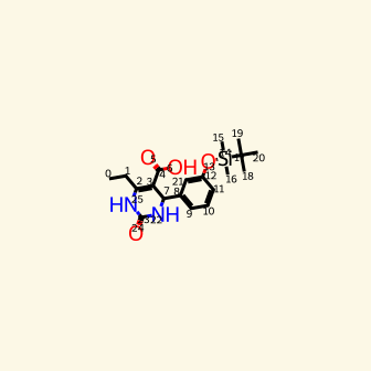 CCC1=C(C(=O)O)C(c2cccc(O[Si](C)(C)C(C)(C)C)c2)NC(=O)N1